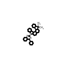 CC1(C)c2ccccc2-c2c1ccc1ccc3c(c4ccccc4n3-c3nc(-c4ccccc4)c4ccccc4n3)c21